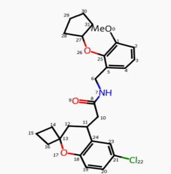 COc1cccc(CNC(=O)CC2CC3(CCC3)Oc3ccc(Cl)cc32)c1OC1CCCC1